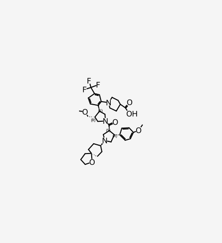 COC[C@H]1CN(C(=O)[C@@H]2CN([C@H]3CC[C@]4(CCCO4)CC3)C[C@H]2c2ccc(OC)cc2)C[C@@H]1c1ccc(C(F)(F)F)cc1N1CCC(C(=O)O)CC1